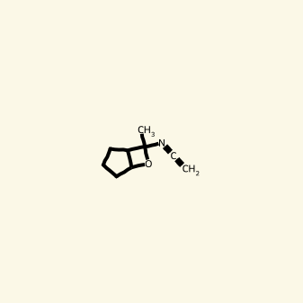 C=C=NC1(C)OC2CCCC21